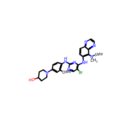 COc1cc(N2CCC(O)CC2)ccc1Nc1ncc(Br)c(Nc2ccc3nccnc3c2N(C)SC)n1